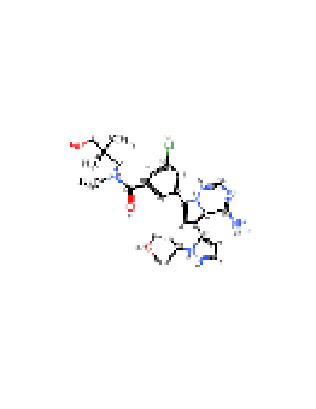 CN(CC(C)(C)CO)C(=O)c1cc(Cl)cc(-c2cc(-c3ccnn3C3CCOCC3)c3c(N)ncnn23)c1